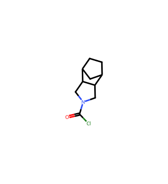 O=C(Cl)N1CC2C3CCC(C3)C2C1